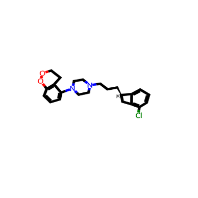 Clc1cccc2c1C[C@H]2CCCN1CCN(c2cccc3c2CCOO3)CC1